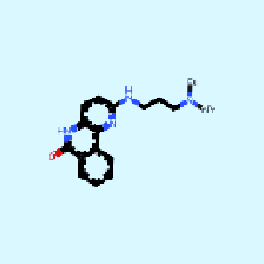 CCCN(CC)CCCNc1ccc2[nH]c(=O)c3ccccc3c2n1